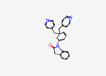 O=C1Cc2ccccc2N1C1=CC=CC(Cc2ccncc2)(Cc2ccncc2)C1